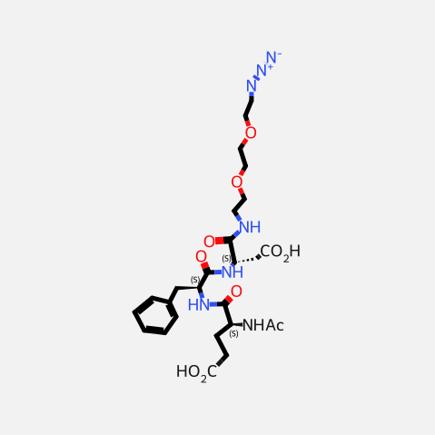 CC(=O)N[C@@H](CCC(=O)O)C(=O)N[C@@H](Cc1ccccc1)C(=O)N[C@@H](CC(=O)O)C(=O)NCCOCCOCCN=[N+]=[N-]